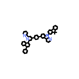 CC1(C)c2ccccc2-c2ccc(-n3c4ccc(C5=CC=C(c6cc(-c7ccccn7)nc(-c7ccc(-c8ccccc8)c8ccccc78)c6)CC5)cc4c4cccnc43)cc21